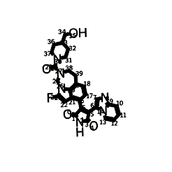 O=C1NC(=O)C(c2cnc3ccccn23)=C1c1ccc2c3c1cc(F)n3CN(C(=O)N1CCC(CO)CC1)CC2